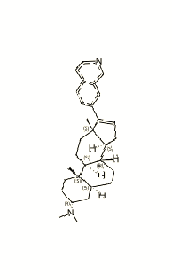 CN(C)[C@@H]1CC[C@@]2(C)[C@@H](CC[C@@H]3[C@@H]2CC[C@]2(C)C(c4ccc5ccncc5c4)=CC[C@@H]32)C1